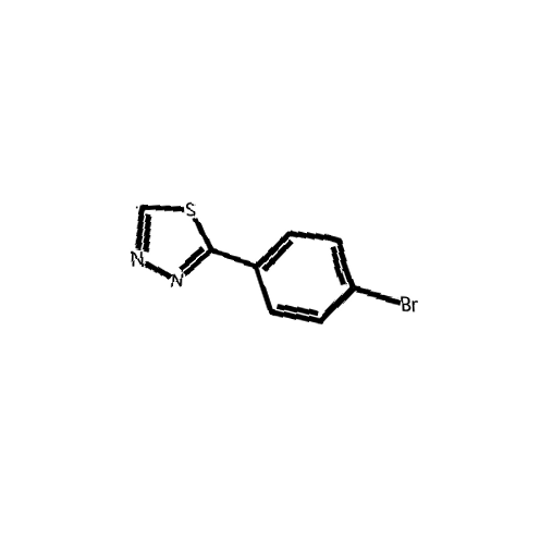 Brc1ccc(-c2nn[c]s2)cc1